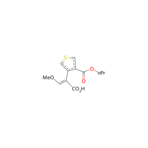 CCCOC(=O)c1cscc1/C(=C\OC)C(=O)O